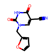 N#Cc1cn(Cc2ccco2)c(=O)[nH]c1=O